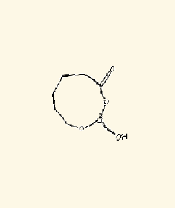 O=C1CCCCCOB(O)O1